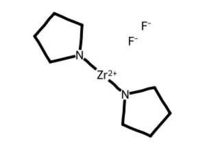 C1CC[N]([Zr+2][N]2CCCC2)C1.[F-].[F-]